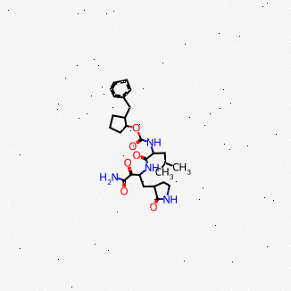 CC(C)CC(NC(=O)OC1CCCC1Cc1ccccc1)C(=O)NC(CC1CCNC1=O)C(=O)C(N)=O